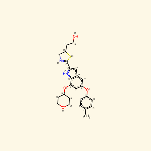 Cc1ccc(Oc2cc(OC3CCOCC3)c3[nH]c(C4=NCC(CCO)S4)cc3c2)cc1